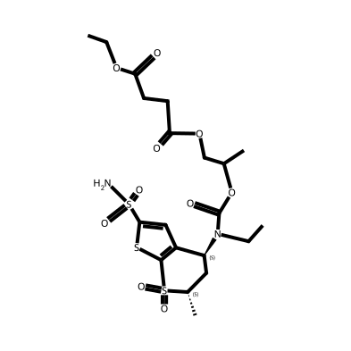 CCOC(=O)CCC(=O)OCC(C)OC(=O)N(CC)[C@H]1C[C@H](C)S(=O)(=O)c2sc(S(N)(=O)=O)cc21